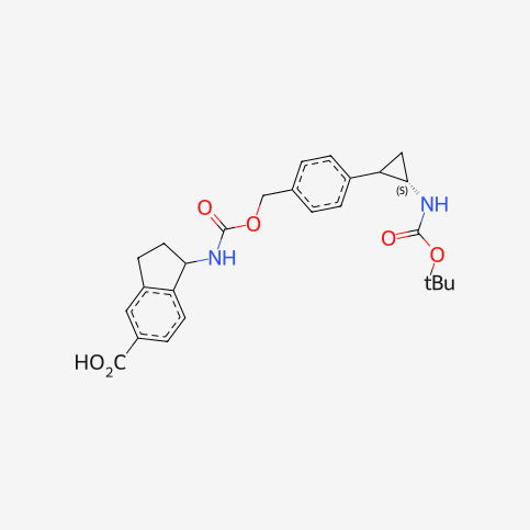 CC(C)(C)OC(=O)N[C@H]1CC1c1ccc(COC(=O)NC2CCc3cc(C(=O)O)ccc32)cc1